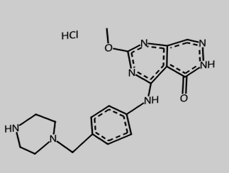 COc1nc(Nc2ccc(CN3CCNCC3)cc2)c2c(=O)[nH]ncc2n1.Cl